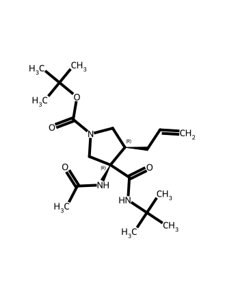 C=CC[C@@H]1CN(C(=O)OC(C)(C)C)C[C@@]1(NC(C)=O)C(=O)NC(C)(C)C